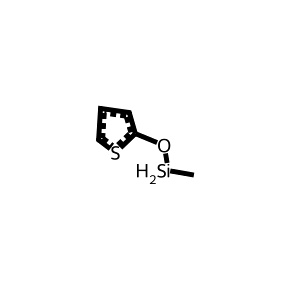 C[SiH2]Oc1cccs1